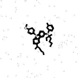 CCCCC(C)c1ccc2c(c1)c1cc(N(C3=CC=CC(C)C3)C(C)(CC)CCCC)ccc1n2C1=CCC(OC)C=C1